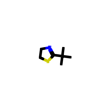 C[Si](C)(C)C1=NCCS1